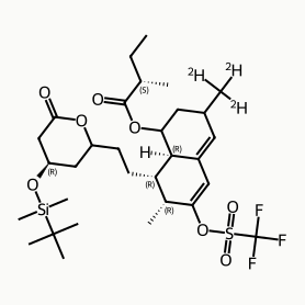 [2H]C([2H])([2H])C1C=C2C=C(OS(=O)(=O)C(F)(F)F)[C@H](C)[C@H](CCC3C[C@@H](O[Si](C)(C)C(C)(C)C)CC(=O)O3)[C@H]2C(OC(=O)[C@@H](C)CC)C1